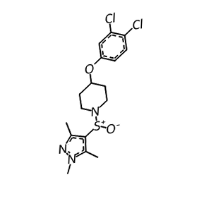 Cc1nn(C)c(C)c1[S+]([O-])N1CCC(Oc2ccc(Cl)c(Cl)c2)CC1